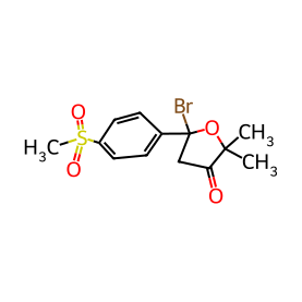 CC1(C)OC(Br)(c2ccc(S(C)(=O)=O)cc2)CC1=O